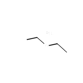 CCOCC.P